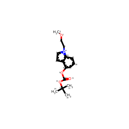 COCCn1ccc2c(OC(=O)OC(C)(C)C)cccc21